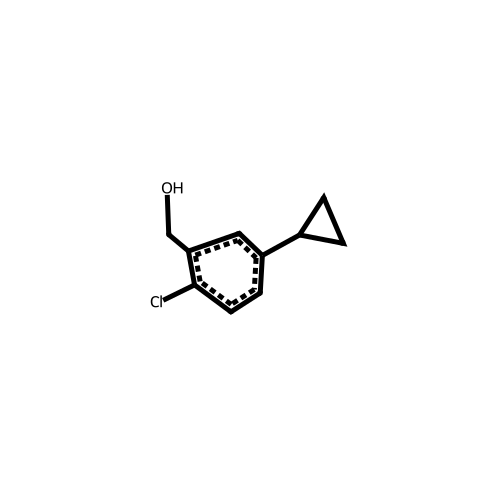 OCc1cc(C2CC2)ccc1Cl